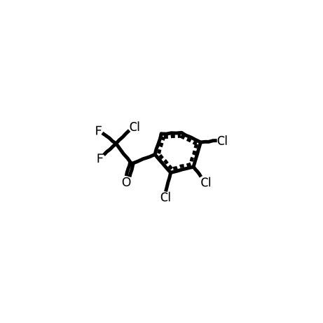 O=C(c1ccc(Cl)c(Cl)c1Cl)C(F)(F)Cl